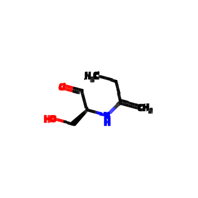 C=C(CC)N[C@H](C=O)CO